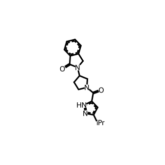 CC(C)c1cc(C(=O)N2CCC(N3Cc4ccccc4C3=O)C2)[nH]n1